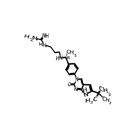 C[C@@H](NCCCNC(=N)N)c1ccc(-n2cc3cc(C(C)(C)C)[nH]c3nc2=O)cc1